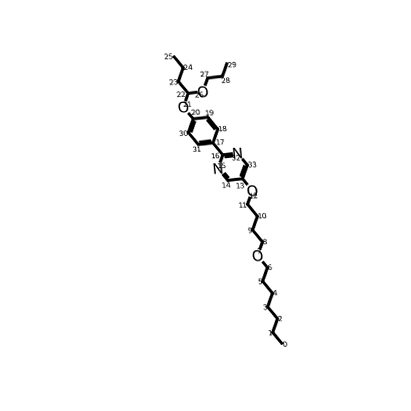 CCCCCCCOCCCCOc1cnc(-c2ccc(OC(CCC)OCCC)cc2)nc1